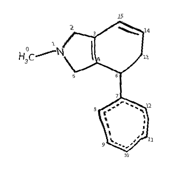 CN1CC2=C(C1)C(c1ccccc1)CC=C2